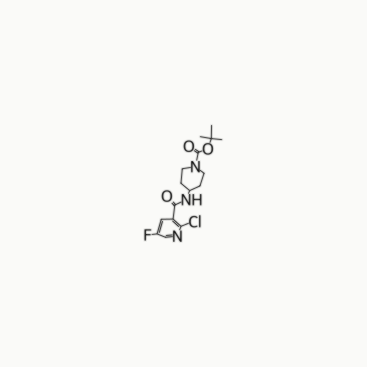 CC(C)(C)OC(=O)N1CCC(NC(=O)c2cc(F)cnc2Cl)CC1